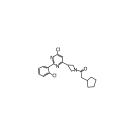 O=C(CC1CCCC1)N1CC(c2cc(Cl)nc(-c3ccccc3Cl)n2)C1